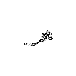 CC(=O)c1c(C)c2cnc(Nc3ccc(N4CCN(CC(=O)O)CC4)cn3)nc2n(C2CCCC2)c1=O